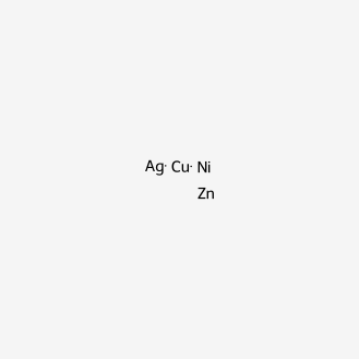 [Ag].[Cu].[Ni].[Zn]